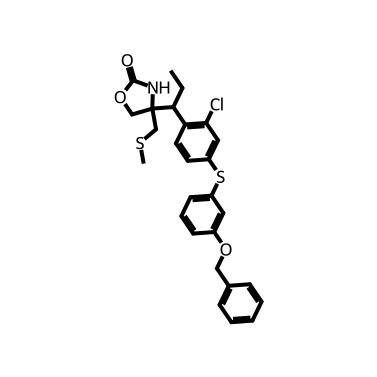 CCC(c1ccc(Sc2cccc(OCc3ccccc3)c2)cc1Cl)C1(CSC)COC(=O)N1